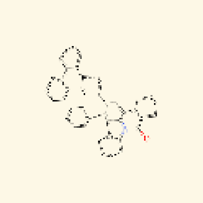 O=c1c2ccccc2c2cc(-c3ccc4c5ccccc5c5ccccc5c4c3)c(-c3ccccc3)c3c4ccccc4n1c23